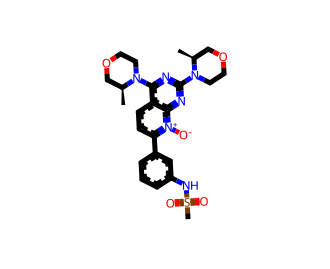 C[C@H]1COCCN1c1nc(N2CCOC[C@@H]2C)c2ccc(-c3cccc(NS(C)(=O)=O)c3)[n+]([O-])c2n1